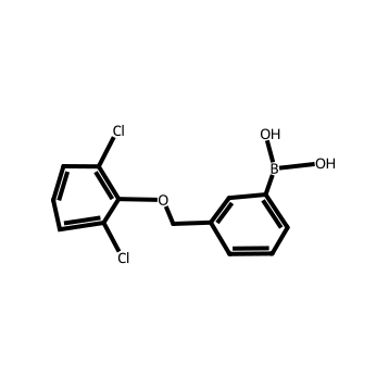 OB(O)c1cccc(COc2c(Cl)cccc2Cl)c1